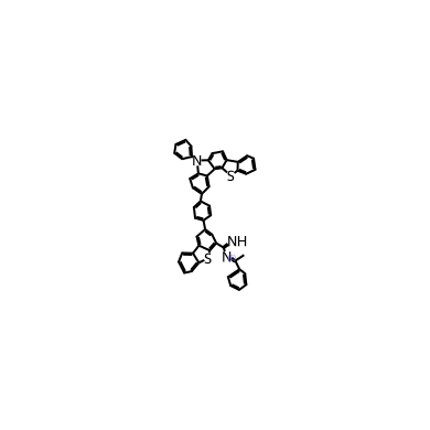 C/C(=N\C(=N)c1cc(-c2ccc(-c3ccc4c(c3)c3c5sc6ccccc6c5ccc3n4-c3ccccc3)cc2)cc2c1sc1ccccc12)c1ccccc1